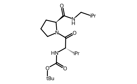 CC(C)CNC(=O)[C@@H]1CCCN1C(=O)[C@@H](NC(=O)OC(C)(C)C)C(C)C